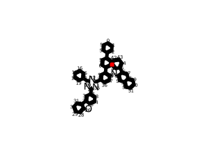 c1ccc(-c2ccc(-c3cc(-c4nc(-c5ccccc5)nc(-c5ccc6oc7ccccc7c6c5)n4)ccc3-n3c4ccccc4c4cc5ccccc5cc43)cc2)cc1